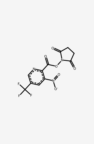 O=C(ON1C(=O)CCC1=O)c1ncc(C(F)(F)F)cc1[N+](=O)[O-]